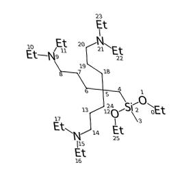 CCO[Si](C)(CC(CCCN(CC)CC)(CCCN(CC)CC)CCCN(CC)CC)OCC